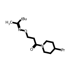 C/C(=N/OCCC(=O)N1CCC(C(C)C)CC1)C(C)(C)C